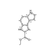 COC(=O)c1nc2c(ccc3[nH]ccc32)[nH]1